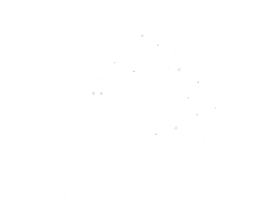 [2H]c1c([2H])c(C(C([2H])([2H])N(C([2H])([2H])[2H])C([2H])([2H])[2H])C2(O)C([2H])([2H])C([2H])([2H])C([2H])([2H])C([2H])([2H])C2([2H])[2H])c([2H])c([2H])c1OC([2H])([2H])[2H]